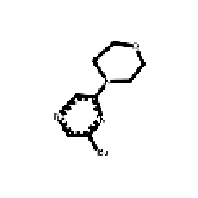 CCC(C)c1cncc(N2CCOCC2)n1